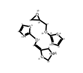 C(Oc1nccs1)=C1CNCO1.c1csc(OCC2CO2)n1